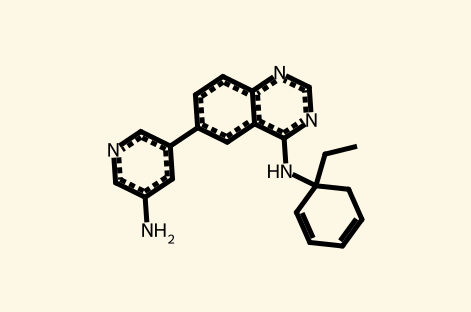 CCC1(Nc2ncnc3ccc(-c4cncc(N)c4)cc23)C=CC=CC1